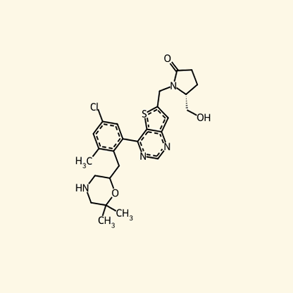 Cc1cc(Cl)cc(-c2ncnc3cc(CN4C(=O)CC[C@@H]4CO)sc23)c1CC1CNCC(C)(C)O1